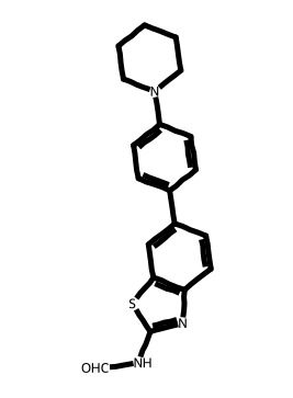 O=CNc1nc2ccc(-c3ccc(N4CCCCC4)cc3)cc2s1